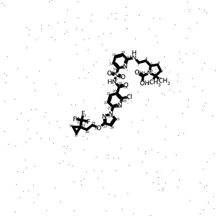 CC1(C)CCC(CCNc2cccc(S(=O)(=O)NC(=O)c3ccc(-n4ccc(OCCC5(C(F)(F)F)CC5)n4)nc3Cl)n2)N1C(=O)O